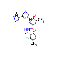 C[C@@H](NC(=O)c1cc(C(F)(F)F)c(=O)n(-c2cncc(-c3cnnn3C)c2)n1)c1cccc(C(F)(F)F)c1F